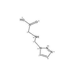 O=C(O)CNCn1ccnn1